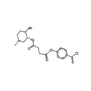 CC1CCC(C(C)C)C(OC(=O)CCC(=O)Oc2ccc(C(=O)Cl)cc2)C1